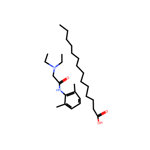 CCCCCCCCCCCCCC(=O)O.CCN(CC)CC(=O)Nc1c(C)cccc1C